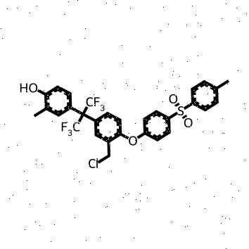 Cc1ccc(S(=O)(=O)c2ccc(Oc3ccc(C(c4ccc(O)c(C)c4)(C(F)(F)F)C(F)(F)F)cc3CCl)cc2)cc1